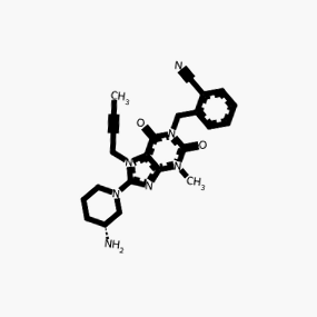 CC#CCn1c(N2CCC[C@@H](N)C2)nc2c1c(=O)n(Cc1ccccc1C#N)c(=O)n2C